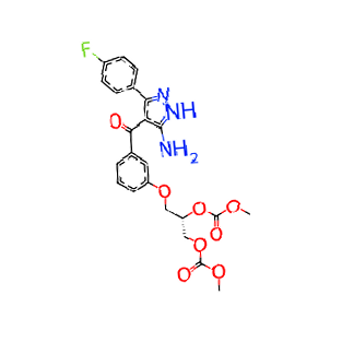 COC(=O)OC[C@H](COc1cccc(C(=O)c2c(-c3ccc(F)cc3)n[nH]c2N)c1)OC(=O)OC